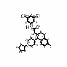 Cc1ccc2c(c1)CCN(CC(=O)Nc1cc(Cl)cc(Cl)c1)C2C1CCN(C2CCCC2)CC1